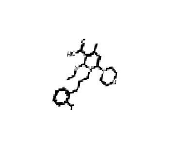 CCSC1C(C(=O)O)=C(C)C=C(N2CCOCC2)N1CCCc1ccccc1F